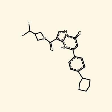 O=C(c1cnn2c(=O)cc(-c3ccc(C4CCCCC4)cc3)[nH]c12)N1CC(C(F)F)C1